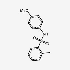 COc1ccc(NS(=O)(=O)c2ccccc2C)cc1